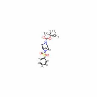 CC(C)(C)OC(=O)N1CC2CC1CN2S(=O)(=O)c1ccccc1